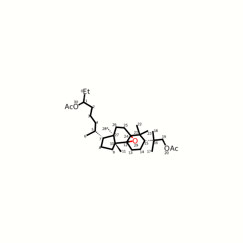 CCC(CCCC(C)[C@H]1CC[C@@]2(C)C34CC[C@@H](C(C)(C)COC(C)=O)C(C)(C)C3(CC[C@]12C)O4)OC(C)=O